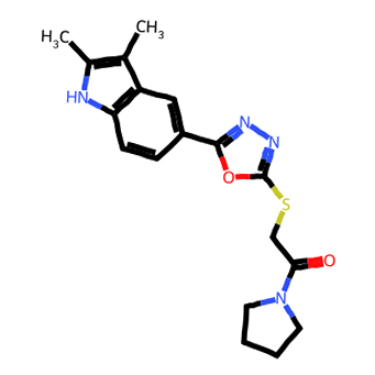 Cc1[nH]c2ccc(-c3nnc(SCC(=O)N4CCCC4)o3)cc2c1C